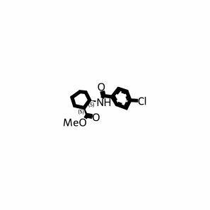 COC(=O)[C@H]1CCCC[C@@H]1NC(=O)c1ccc(Cl)cc1